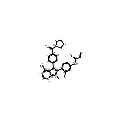 C=CC(=O)Nc1ccc(-c2c(-c3ccc(C(=O)N4CCCC4)cc3)c3c(N)ncnc3n2C)c(C)c1